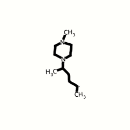 C[CH]CCC(C)N1CCN(C)CC1